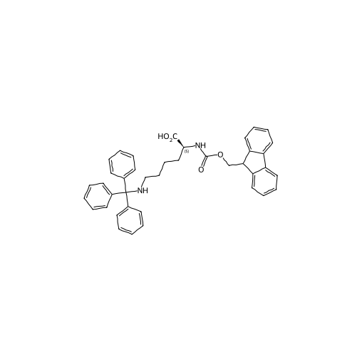 O=C(N[C@@H](CCCCNC(c1ccccc1)(c1ccccc1)c1ccccc1)C(=O)O)OCC1c2ccccc2-c2ccccc21